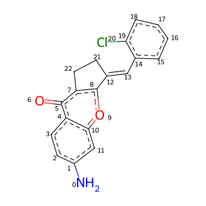 Nc1ccc2c(=O)c3c(oc2c1)C(=Cc1ccccc1Cl)CC3